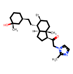 CC[C@H]1CC[C@]2(C)[C@@H](C(=O)Cn3ccnc3C)CC[C@H]2[C@@H]1CC[C@@H]1CCC[C@@](C)(O)C1